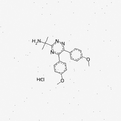 COc1ccc(-c2nnc(C(C)(C)N)nc2-c2ccc(OC)cc2)cc1.Cl